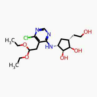 CCOC(Cc1c(Cl)ncnc1N[C@@H]1C[C@H](CCO)[C@@H](O)[C@H]1O)OCC